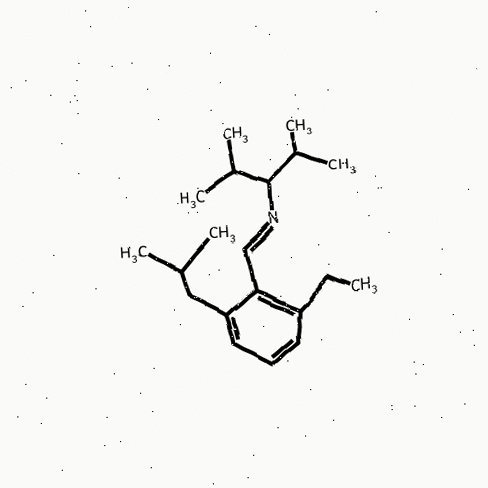 CCc1cccc(CC(C)C)c1/C=N/C(C(C)C)C(C)C